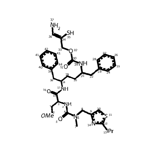 COCC(NC(=O)N(C)Cc1csc(C(C)C)n1)C(=O)NC(CCC(Cc1ccccc1)NC(=O)OC/C(S)=C/N)Cc1ccccc1